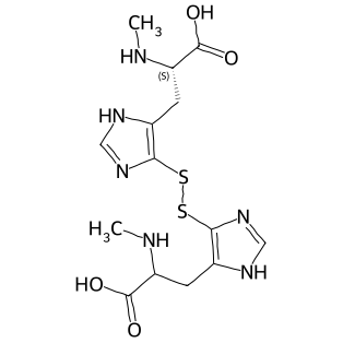 CNC(Cc1[nH]cnc1SSc1nc[nH]c1C[C@H](NC)C(=O)O)C(=O)O